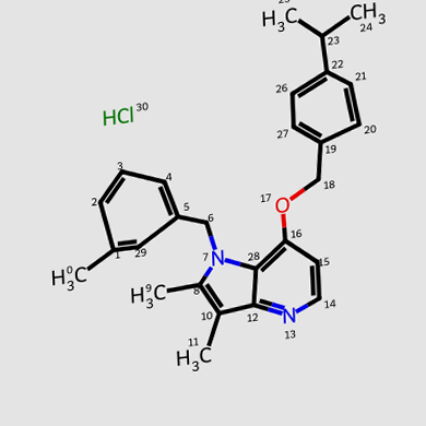 Cc1cccc(Cn2c(C)c(C)c3nccc(OCc4ccc(C(C)C)cc4)c32)c1.Cl